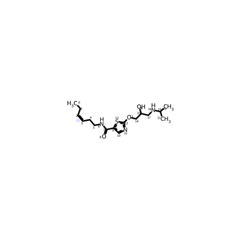 CC/C=C\CCNC(=O)c1cnc(OCC(O)CNC(C)C)s1